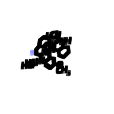 COc1ccc2nc(/C=C\c3ccc(Cl)cc3)nc(NC3CCCCC3NC(=N)N)c2c1.Cl.Cl